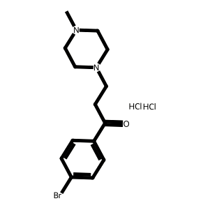 CN1CCN(CCC(=O)c2ccc(Br)cc2)CC1.Cl.Cl